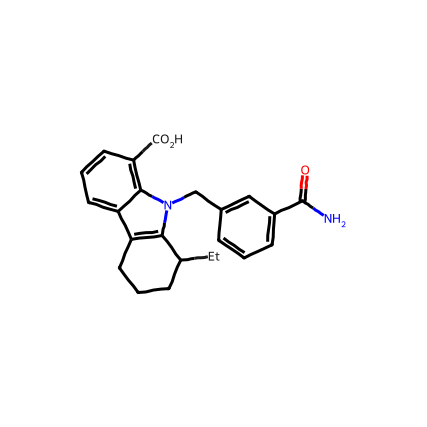 CCC1CCCc2c1n(Cc1cccc(C(N)=O)c1)c1c(C(=O)O)cccc21